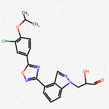 CC(C)Oc1ccc(-c2nc(-c3cccc4c3cnn4CC(O)C=O)no2)cc1Cl